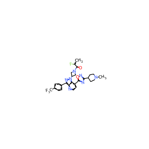 C=C(F)C(=O)N1CC(n2nc(-c3ccc(C(F)(F)F)cc3)c3nccc(-c4nc(C5CCN(C)CC5)no4)c32)C1